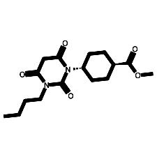 CCCCN1C(=O)CC(=O)N([C@H]2CC[C@H](C(=O)OC)CC2)C1=O